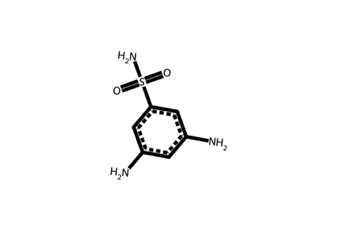 Nc1cc(N)cc(S(N)(=O)=O)c1